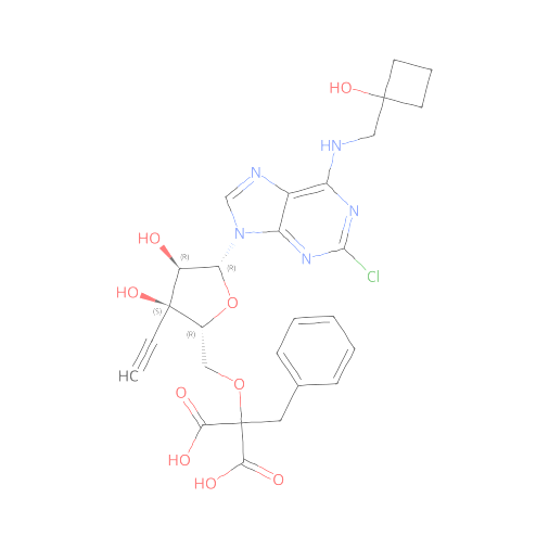 C#C[C@@]1(O)[C@@H](COC(Cc2ccccc2)(C(=O)O)C(=O)O)O[C@@H](n2cnc3c(NCC4(O)CCC4)nc(Cl)nc32)[C@@H]1O